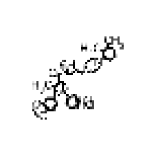 Cc1cccc(N2CCN(CCCN(C)C(=O)c3nc(-c4ccccc4)n(-c4ccc5c(c4)OCCO5)c3C)CC2)c1C.Cl.Cl